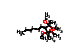 CCCCCCC([Si](C)(OC)OC)[Si](C)(OC)OC